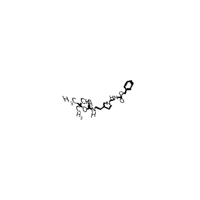 CC(C)(C)OC(=O)NCCC1CCN(CCNC(=O)OCc2ccccc2)C1